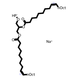 CCCCCCCC/C=C\CCCCCCCC(=O)OCC(CO[PH-])OC(=O)CCCCCCC/C=C\CCCCCCCC.[Na+]